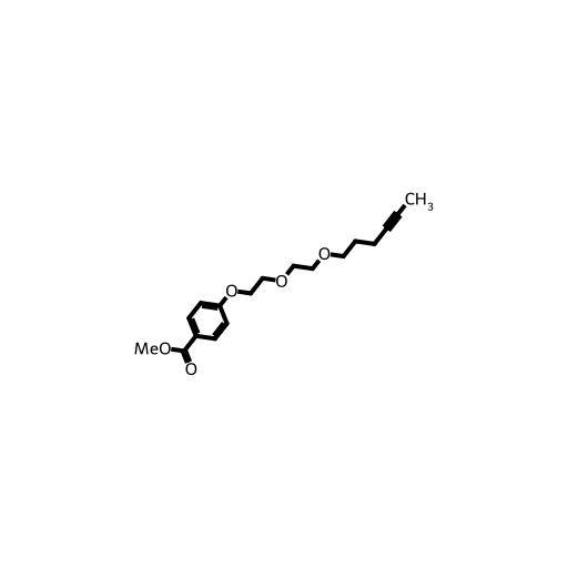 CC#CCCCOCCOCCOc1ccc(C(=O)OC)cc1